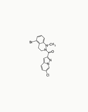 CN1c2cccc(Br)c2CCN1C(=O)c1cc2ccc(Cl)cn2n1